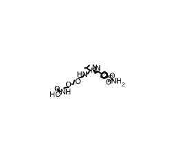 CC(C)C(CNCCOCCOCCNC(=O)O)n1cc(-c2ccc(S(N)(=O)=O)cc2)nn1